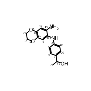 CC(O)c1ccc(Nc2cc3c(cc2N)OCCO3)cc1